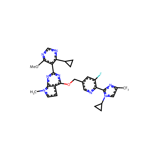 COc1ncnc(C2CC2)c1-c1nc(OCc2cnc(-c3nc(C(F)(F)F)cn3C3CC3)c(F)c2)c2ccn(C)c2n1